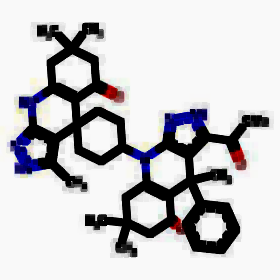 COC(=O)c1[nH]nc2c1C(C)(c1ccccc1)C1=C(CC(C)(C)CC1=O)N2C1CCC2(CC1)C1=C(CC(C)(C)CC1=O)Nc1n[nH]c(C)c12